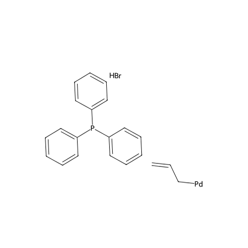 Br.C=C[CH2][Pd].c1ccc(P(c2ccccc2)c2ccccc2)cc1